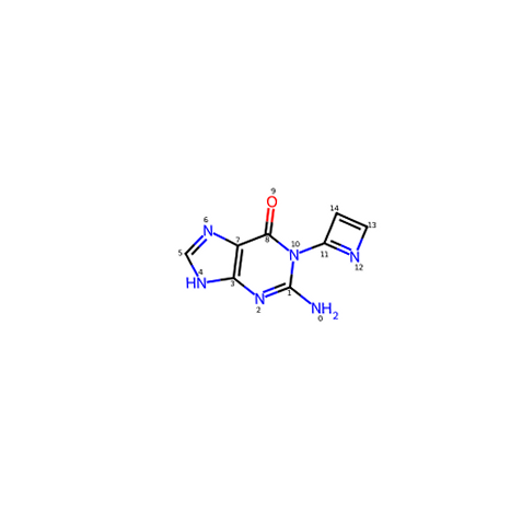 Nc1nc2[nH]cnc2c(=O)n1C1=NC=C1